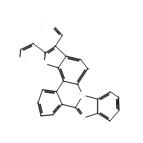 C=Cc1c(/C=C\C)oc2c1ccc1c2c2ccccc2c2nc3ccccc3n12